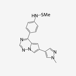 CSNc1ccc(-c2ncnn3cc(-c4cnn(C)c4)cc23)cc1